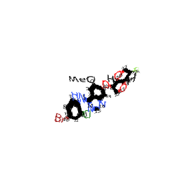 COc1cc2c(Nc3ccc(Br)cc3Cl)ncnc2cc1OC1CO[C@H]2[C@H](F)CO[C@@H]12